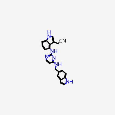 N#CCc1c[nH]c2cccc(Nc3nccc(NCc4ccc5[nH]ccc5c4)n3)c12